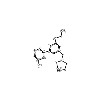 CCOc1cc(CN2CCNCC2)cc(-c2cncc(O)c2)c1